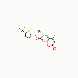 Cc1c(C)c2cc(Br)c(OCc3ccc(C(C)(C)C)s3)cc2oc1=O